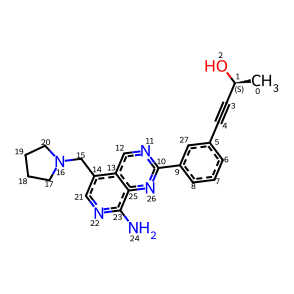 C[C@H](O)C#Cc1cccc(-c2ncc3c(CN4CCCC4)cnc(N)c3n2)c1